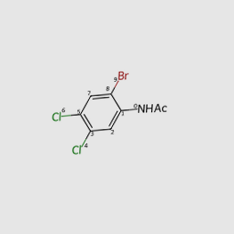 CC(=O)Nc1cc(Cl)c(Cl)cc1Br